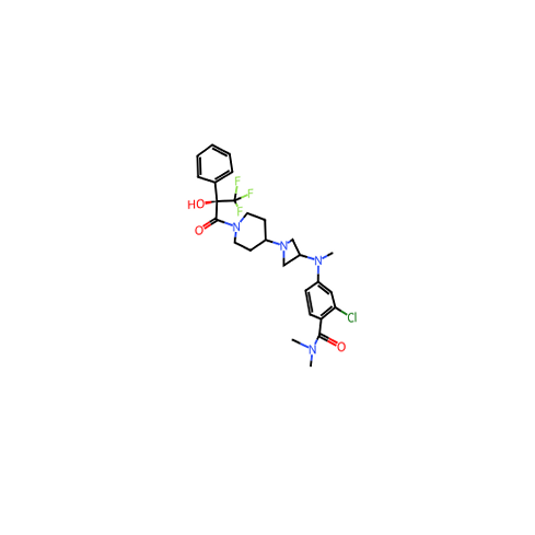 CN(C)C(=O)c1ccc(N(C)C2CN(C3CCN(C(=O)[C@](O)(c4ccccc4)C(F)(F)F)CC3)C2)cc1Cl